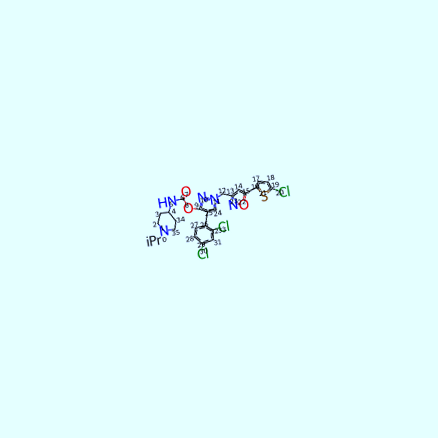 CC(C)N1CCC(NC(=O)Oc2nn(Cc3cc(-c4ccc(Cl)s4)on3)cc2-c2ccc(Cl)cc2Cl)CC1